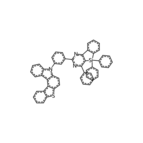 c1ccc(-c2nc(-c3cccc(-n4c5ccccc5c5c6c(ccc54)sc4ccccc46)c3)nc3c2[Si](c2ccccc2)(c2ccccc2)c2ccccc2-3)cc1